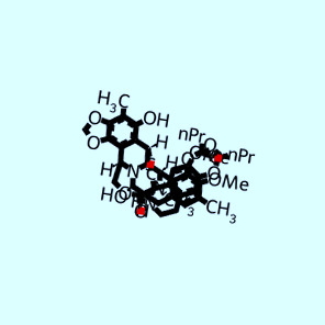 CCCC(=O)Oc1cc2c(cc1OC)[C@@]1(CS[C@@H]3c4c(O)c(C)c5c(c4[C@H](COC1=O)N1C3[C@H]3c4c(cc(C)c(OC)c4OC(=O)CCC)C[C@@H]([C@@H]1O)N3C)OCO5)NCC2